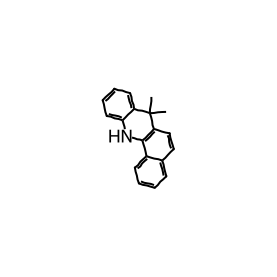 CC1(C)c2ccccc2Nc2c1ccc1ccccc21